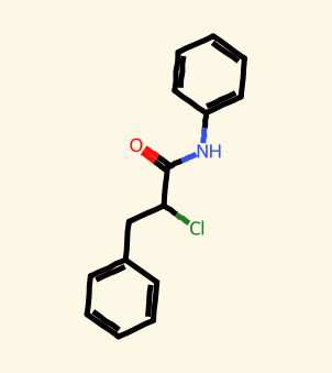 O=C(Nc1ccccc1)C(Cl)Cc1ccccc1